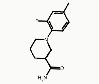 Cc1ccc(N2CCCC(C(N)=O)C2)c(F)c1